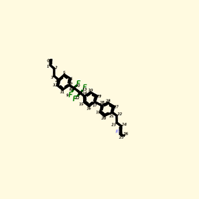 C=CCCc1ccc(C(F)(F)C(F)(F)c2ccc(-c3ccc(CC/C=C/C)cc3)cc2)cc1